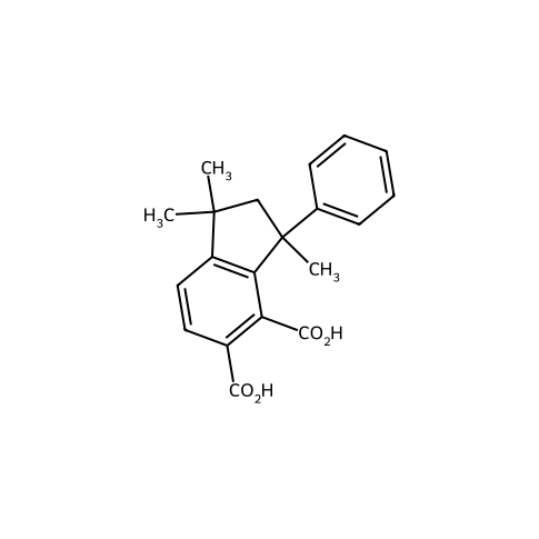 CC1(C)CC(C)(c2ccccc2)c2c1ccc(C(=O)O)c2C(=O)O